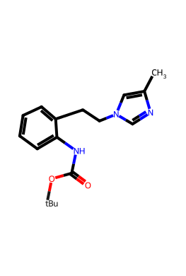 Cc1cn(CCc2ccccc2NC(=O)OC(C)(C)C)cn1